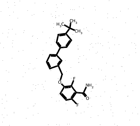 CC(C)(C)c1ccc(-c2cccc(COc3ccc(F)c(C(N)=O)c3F)c2)cc1